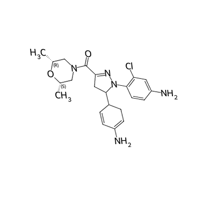 C[C@@H]1CN(C(=O)C2=NN(c3ccc(N)cc3Cl)C(C3C=CC(N)=CC3)C2)C[C@H](C)O1